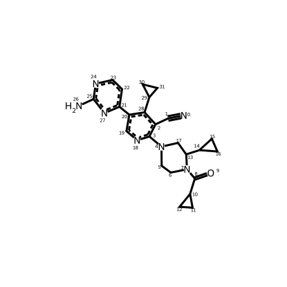 N#Cc1c(N2CCN(C(=O)C3CC3)C(C3CC3)C2)ncc(-c2ccnc(N)n2)c1C1CC1